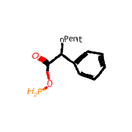 CCCCCC(C(=O)OP)c1ccccc1